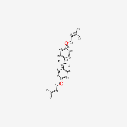 CC(C)=CCOc1ccc(C(C)(C)c2ccc(OCC=C(C)C)cc2)cc1